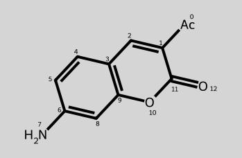 CC(=O)c1cc2ccc(N)cc2oc1=O